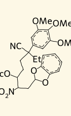 CCC(C#N)(CCC(OC(C)=O)C(CC1Oc2ccccc2O1)[N+](=O)[O-])c1cc(OC)c(OC)c(OC)c1